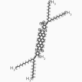 CCCCCCCCCCCCC(C#Cc1cc2nc3c4ccc5c6ccc7c8ccc9c(=O)n%10c%11cc([N+](=O)[O-])c(C#CC(CCCCCCCCCCCC)CCCCCCCCCCCC)cc%11nc%10c%10ccc(c%11ccc(c%12ccc(c(=O)n3c2cc1N)c4c5%12)c6c7%11)c8c9%10)CCCCCCCCCCCC